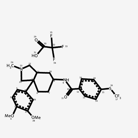 COc1ccc(C23CCC(NC(=O)c4ccc(SC(F)(F)F)cc4)CC2CN(C)C3)cc1OC.O=C(O)C(F)(F)F